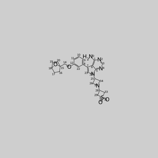 Nc1ncnc2c1c(-c1cccc(OCC34CCC(CC3)O4)c1)cn2C1CN(C2CS(=O)(=O)C2)C1